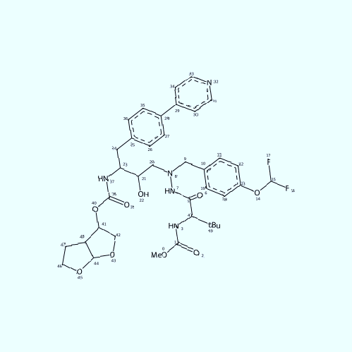 COC(=O)NC(C(=O)NN(Cc1ccc(OC(F)F)cc1)CC(O)C(Cc1ccc(-c2ccncc2)cc1)NC(=O)OC1COC2OCCC12)C(C)(C)C